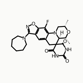 C[C@H]1CN2c3c(cc4c(N5CCCCCC5)noc4c3F)CC3(C(=O)NC(=O)NC3=O)[C@@H]2[C@@H](C)O1